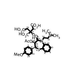 COc1ccc([C@@H]2Sc3ccccc3N(CCN(C)C)C(=O)[C@@H]2OC(C)=O)cc1.O=C(O)CC(O)(CC(=O)O)C(=O)O